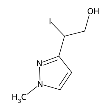 Cn1ccc(C(I)CO)n1